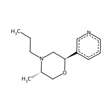 CCCN1C[C@@H](c2cccnc2)OC[C@@H]1C